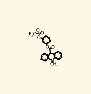 CN1c2ccccc2C(C(=O)Oc2cccc(OS(=O)(=O)C(F)(F)F)c2)c2ccccc21